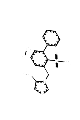 CCCCCl.NS(=O)(=O)c1c(Cn2cncc2C=O)cccc1-c1ccccc1